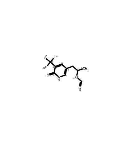 CC(Cc1c[nH]c(=O)c(C(F)(F)F)c1)OC=O